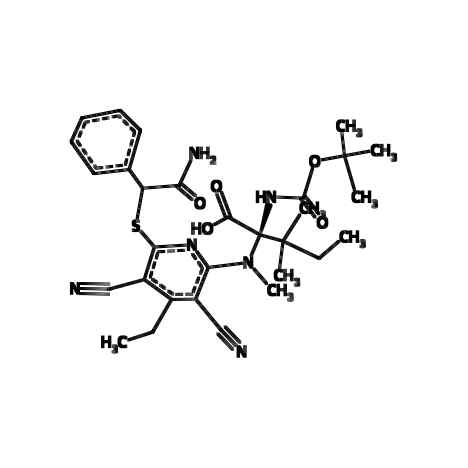 CCc1c(C#N)c(SC(C(N)=O)c2ccccc2)nc(N(C)[C@](NC(=O)OC(C)(C)C)(C(=O)O)C(C)(C)CC)c1C#N